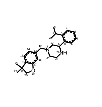 CC(C)c1ccccc1C1CN(Cc2ccc3c(c2)OCC3(C)C)CCN1